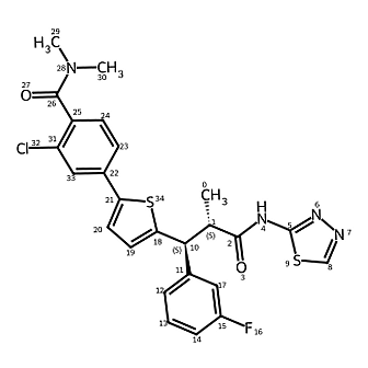 C[C@H](C(=O)Nc1nncs1)[C@@H](c1cccc(F)c1)c1ccc(-c2ccc(C(=O)N(C)C)c(Cl)c2)s1